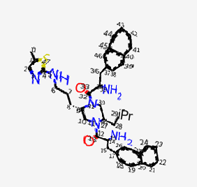 Cc1cnc(NCCC[C@H]2CN(C(=O)C(N)Cc3ccc4ccccc4c3)[C@H](CC(C)C)CN2C(=O)C(N)Cc2ccc3ccccc3c2)s1